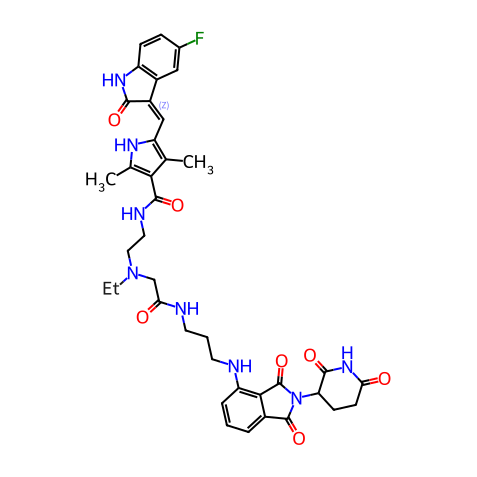 CCN(CCNC(=O)c1c(C)[nH]c(/C=C2\C(=O)Nc3ccc(F)cc32)c1C)CC(=O)NCCCNc1cccc2c1C(=O)N(C1CCC(=O)NC1=O)C2=O